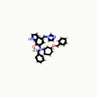 COc1c(N(Cc2ccccc2)C2CCCC(OCc3ccccc3)C2)cc(Cn2ccnc2)c2cc[nH]c12